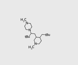 CN1CCN(C(CC2CN(C)CCC2CC(C)(C)C)C(C)(C)C)CC1